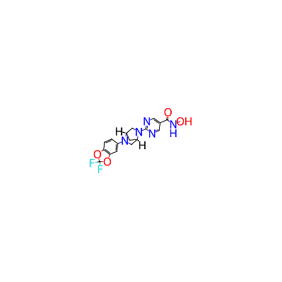 O=C(NO)c1cnc(N2C[C@@H]3C[C@H]2CN3c2ccc3c(c2)OC(F)(F)O3)nc1